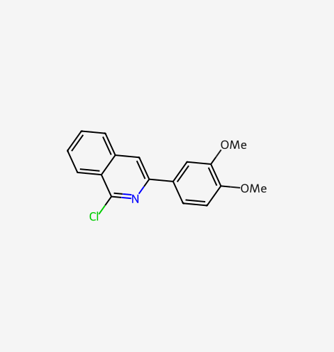 COc1ccc(-c2cc3ccccc3c(Cl)n2)cc1OC